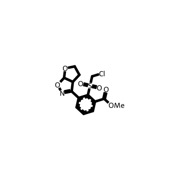 COC(=O)c1cccc(C2=NOC3OCCC23)c1S(=O)(=O)CCl